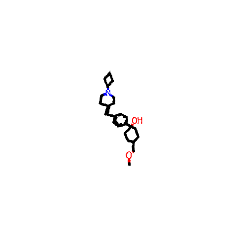 COCC1CCC(O)(c2ccc(C=C3CCN(C4CCC4)CC3)cc2)CC1